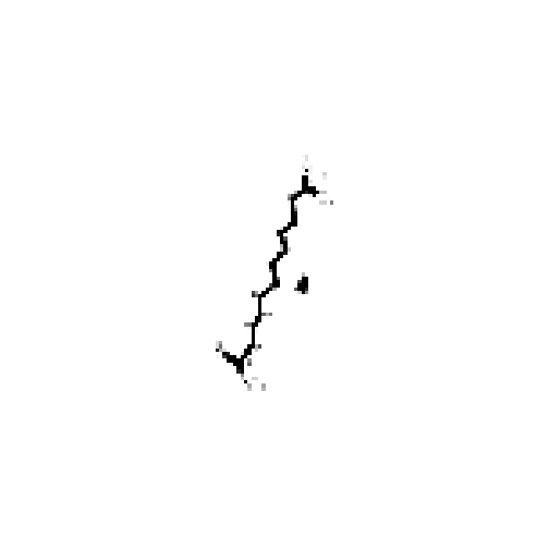 C=C.NC(=O)CCCCCCCCCCC(N)=O